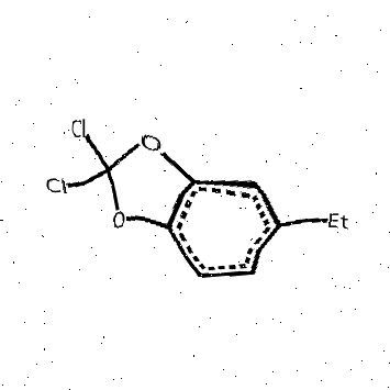 CCc1ccc2c(c1)OC(Cl)(Cl)O2